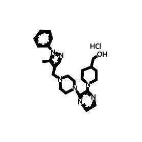 Cc1c(CN2CCN(c3nccnc3N3CCC(CO)CC3)CC2)cnn1-c1ccccc1.Cl